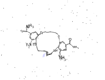 NC(=O)c1cc(N)c2c(c1)OCCCOc1cc(C(N)=O)cc(N)c1NC/C=C/CN2